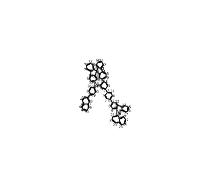 c1cc(-c2ccc(-c3ccc4c(c3)c3ccccc3n4-c3cccc4ccccc34)cc2)cc(N(c2ccc(-c3ccc4ccccc4c3)cc2)c2ccc3c(c2)C2(c4ccccc4-c4ccccc42)c2ccccc2-3)c1